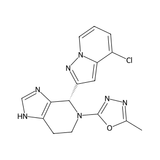 Cc1nnc(N2CCc3[nH]cnc3[C@@H]2c2cc3c(Cl)cccn3n2)o1